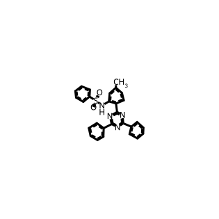 Cc1ccc(-c2nc(-c3ccccc3)nc(-c3ccccc3)n2)c(NS(=O)(=O)c2ccccc2)c1